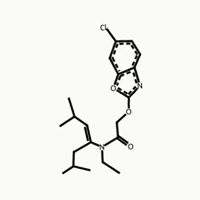 CCN(C(=O)COc1nc2ccc(Cl)cc2o1)C(=CC(C)C)CC(C)C